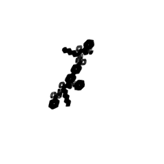 CCCCCC/C(=N\OC(=O)c1ccc(-c2ccc3c(C(=O)/C(CCCCCC)=N/OC(=O)c4ccccc4)cn(-c4ccccc4)c3c2)cc1)C(=O)c1cn(C)c2ccccc12